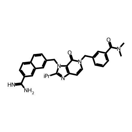 CC(C)c1nc2ccn(Cc3cccc(C(=O)N(C)C)c3)c(=O)c2n1Cc1ccc2ccc(C(=N)N)cc2c1